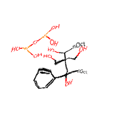 CCCCCCCCC(O)C(CO)(CO)C(O)(CCCCCCCC)c1ccccc1.OP(O)OP(O)O